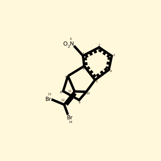 O=[N+]([O-])c1cccc2c1C1CCC2C1=C(Br)Br